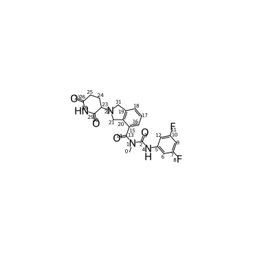 CN(C(=O)Nc1cc(F)cc(F)c1)C(=O)c1cccc2c1CN(C1CCC(=O)NC1=O)C2